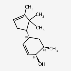 CC1=CCC([C@H]2C=C[C@H](O)[C@H](C)C2)C1(C)C